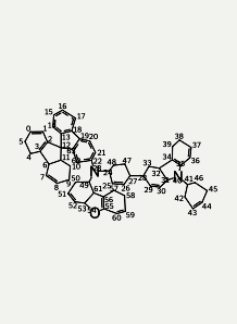 C1=CC2=C(CC1)C1C=CCCC1C21c2ccccc2-c2ccc(N(C3C=CC(C4C=CC5C(C4)C4=C(C=CCC4)N5C4CC=CCC4)CC3)C3CC=CC4OC5=C(CCC=C5)C43)cc21